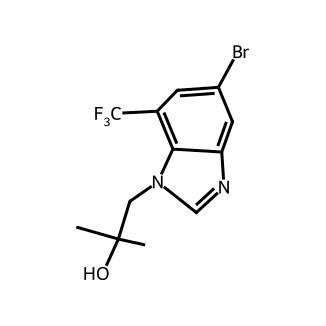 CC(C)(O)Cn1cnc2cc(Br)cc(C(F)(F)F)c21